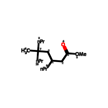 CCCC(CC(=O)OC)CC(C)(CCC)CCC